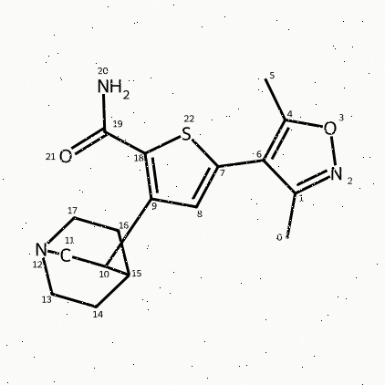 Cc1noc(C)c1-c1cc(C2CN3CCC2CC3)c(C(N)=O)s1